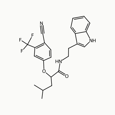 CC(C)CC(Oc1ccc(C#N)c(C(F)(F)F)c1)C(=O)NCCc1c[nH]c2ccccc12